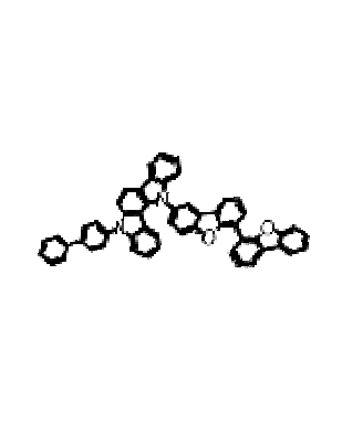 c1ccc(-c2ccc(-n3c4ccccc4c4c3ccc3c5ccccc5n(-c5ccc6oc7c(-c8cccc9c8oc8ccccc89)cccc7c6c5)c34)cc2)cc1